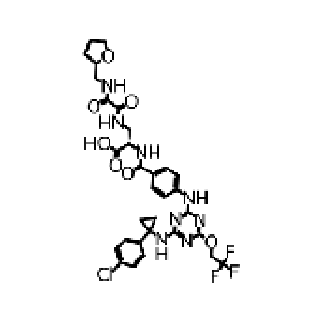 O=C(NCC1CCCO1)C(=O)NC[C@@H](NC(=O)c1ccc(Nc2nc(NC3(c4ccc(Cl)cc4)CC3)nc(OCC(F)(F)F)n2)cc1)C(=O)O